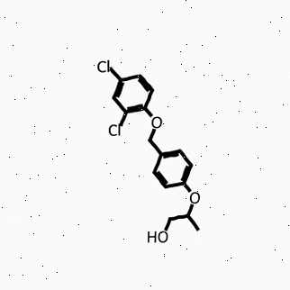 CC(CO)Oc1ccc(COc2ccc(Cl)cc2Cl)cc1